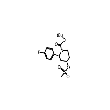 CC(C)(C)OC(=O)N1CC[C@@H](OS(C)(=O)=O)C[C@H]1c1ccc(F)cc1